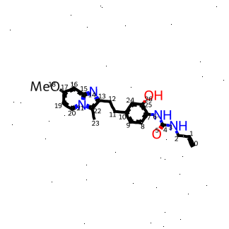 C=CCNC(=O)Nc1ccc(CCc2nc3cc(OC)ccn3c2C)cc1O